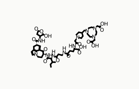 CCC(C)C(NC(=O)CCNC(=O)CCC(NC(=O)CN1CCC(CN2CCN(CC(=O)O)CCN(CC(=O)O)CC2)CC1)C(=O)O)C(=O)N[C@H]1CCn2ccc3c2C(=C[C@@H](C(=O)NC2CC(=O)OC2O)C3)C1=O